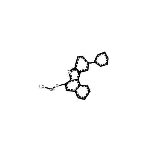 OBOc1cc2ccccc2c2c1oc1ccc(-c3ccccc3)cc12